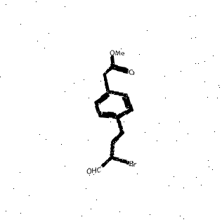 COC(=O)Cc1ccc(CCC(Br)C=O)cc1